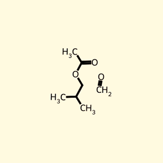 C=O.CC(=O)OCC(C)C